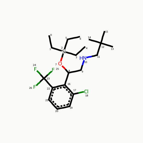 CC[Si](CC)(CC)OC(CNCC(C)(C)C)c1c(Cl)cccc1C(F)(F)F